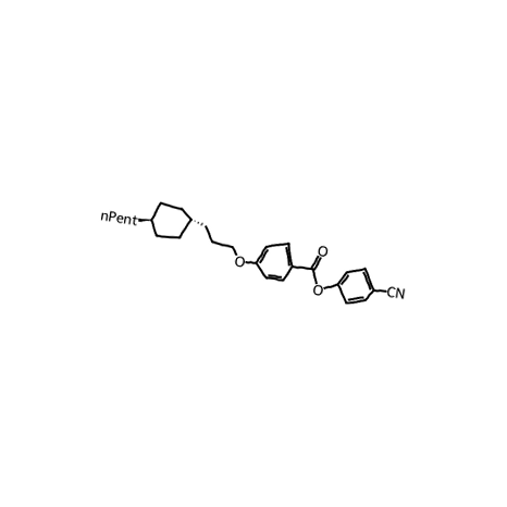 CCCCC[C@H]1CC[C@H](CCCOc2ccc(C(=O)Oc3ccc(C#N)cc3)cc2)CC1